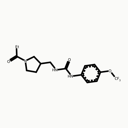 CCC(=O)N1CCC(CNC(=O)Nc2ccc(OC(F)(F)F)cc2)C1